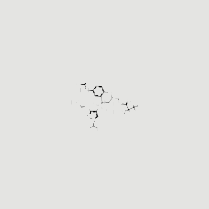 CCOc1nn(C(F)F)cc1S(=O)(=O)N1C[C@H](CNC(=O)C(C)(N)C(F)(F)F)Oc2ccc(NC(=O)O)cc21